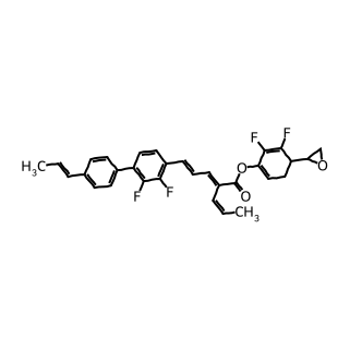 C\C=C/C(=C\C=C\c1ccc(-c2ccc(/C=C/C)cc2)c(F)c1F)C(=O)OC1=CCC(C2CO2)C(F)=C1F